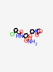 NS(=O)(=O)c1cc(NC(=O)Cc2ccccc2Cl)ccc1Oc1cccc(N2CCOCC2=O)c1